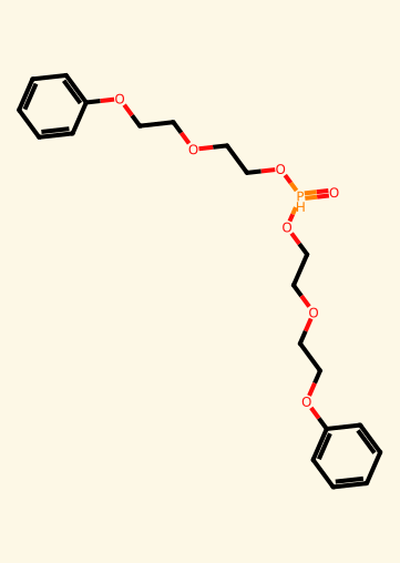 O=[PH](OCCOCCOc1ccccc1)OCCOCCOc1ccccc1